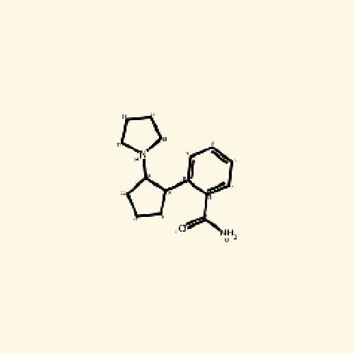 NC(=O)c1ccccc1C1CCCC1N1CCCC1